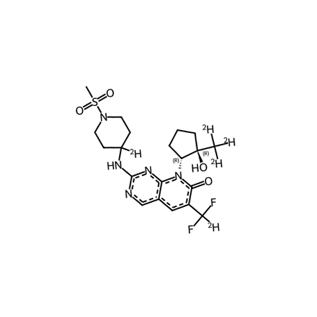 [2H]C1(Nc2ncc3cc(C([2H])(F)F)c(=O)n([C@@H]4CCC[C@]4(O)C([2H])([2H])[2H])c3n2)CCN(S(C)(=O)=O)CC1